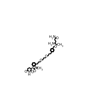 C[C@@H](OCc1ccc(CCCOCCCOCCCc2cccc3c2n(C)c(=O)n3C2CCC(=O)NC2=O)cc1)[C@@H](N)CCC(N)=O